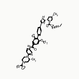 C[C@H]1C[C@@H](c2nc(-c3ccc(-c4c(Cl)cc(C(=O)Nc5ccc(N6CCN(C(=O)C(C)(C)C)C[C@H]6C)nc5)cc4OC(F)(F)F)cc3)c[nH]2)N(C(=O)OC(C)(C)C)C1